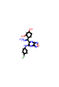 N/N=C(\c1ccc(O)cc1O)c1nc2nonc2nc1Nc1ccc(F)cc1